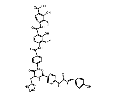 COc1c(NC(=O)c2ccc(NC(=O)c3ccc(NC(=O)C(Cc4cnn[nH]4)NC(=O)c4ccc(NC(=O)/C(C)=C/c5ccc(O)cc5)nc4)cc3)c(OC)c2O)ccc(C(=O)O)c1O